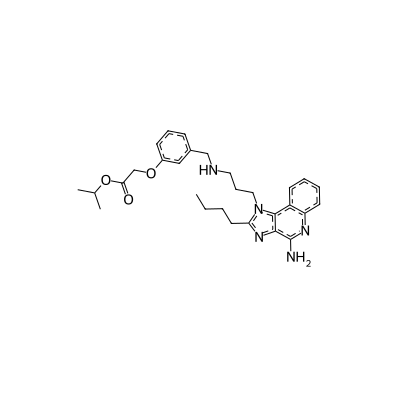 CCCCc1nc2c(N)nc3ccccc3c2n1CCCNCc1cccc(OCC(=O)OC(C)C)c1